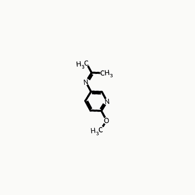 COc1ccc(N=C(C)C)cn1